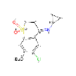 CC(C)COc1cc2c(cc1Cl)C(=NC1CC1)CCS2(=O)=O